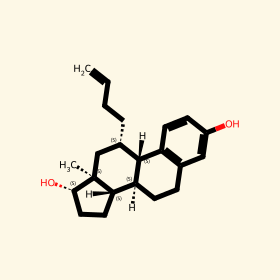 C=CCC[C@H]1C[C@]2(C)[C@@H](O)CC[C@H]2[C@@H]2CCc3cc(O)ccc3[C@@H]12